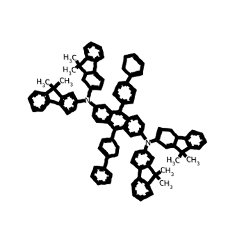 CC1(C)C2=CC(N(c3ccc4c(c3)C(C)(C)c3ccccc3-4)c3ccc4c(-c5ccc(C6=CC=CCC6)cc5)c5cc(N(C6=CC=C7c8ccccc8C(C)(C)C7C6)c6ccc7c(c6)C(C)(C)c6ccccc6-7)ccc5c(C5=CC=C(c6ccccc6)CC5)c4c3)=CCC2c2ccccc21